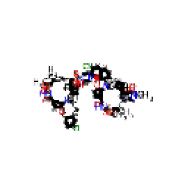 C[C@@H]1[C@@H](C)C/C=C/[C@@](O)([C@H]2CCN(C)C2=O)[C@@H]2CC[C@H]2CN2C[C@@]3(CCCc4cc(Cl)ccc43)C(CN3CCN(S(=O)(=O)C[C@]4(O)CCC[C@H](C)[C@@H](C)S(=O)(=O)NC(=O)c5ccc6c(c5)N(CCCCc5cc(Cl)ccc5CO6)C[C@@H]5CC[C@H]54)CC3)Oc3ccc(cc32)C(=O)NS1(=O)=O